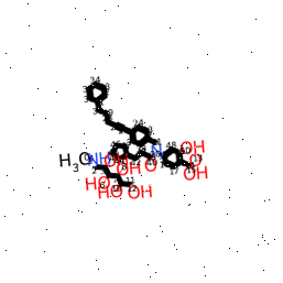 CNC[C@H](O)[C@@H](O)[C@H](O)[C@H](O)CO.O=C(O)c1ccc(N(Cc2ccc(C#CCCCc3ccccc3)cc2)C(=O)CCC2CCCC2)cc1O